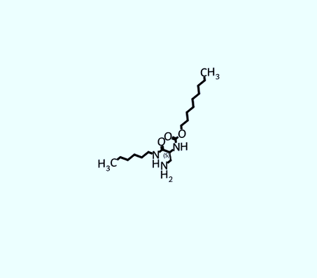 CCCCCCCCCOC(=O)N[C@@H](CN)C(=O)NCCCCCC